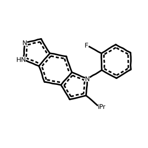 CC(C)c1cc2cc3[nH]ncc3cc2n1-c1ccccc1F